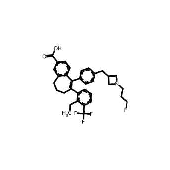 CCc1c(C2=C(c3ccc(CC4CN(CCCF)C4)cc3)c3ccc(C(=O)O)cc3CCC2)cccc1C(F)(F)F